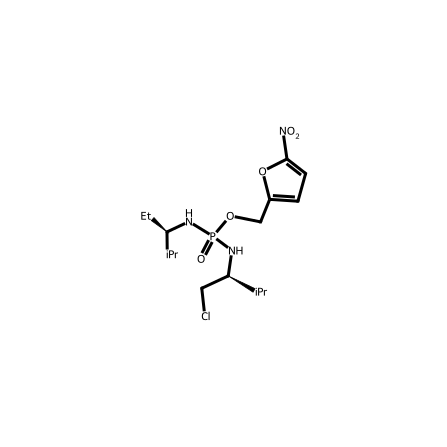 CC[C@@H](NP(=O)(N[C@H](CCl)C(C)C)OCc1ccc([N+](=O)[O-])o1)C(C)C